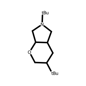 CC(C)(C)C1COC2CN(C(C)(C)C)CC2C1